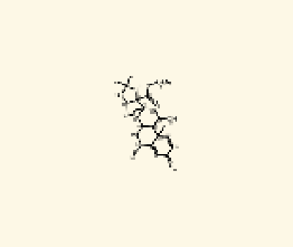 COCC(=O)C12OC(C)(C)OC1CC1C3CC(F)C4=CC(=O)C=CC4(C)C3C(O)CC12C